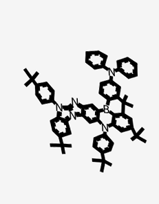 CC(C)(C)c1ccc(N2c3cc4c(cc3B3c5ccc(N(c6ccccc6)c6ccccc6)cc5C(C)(C)c5cc(C(C)(C)C)cc2c53)nc2n(-c3ccc(C(C)(C)C)cc3)c3ccc(C(C)(C)C)cc3n42)cc1